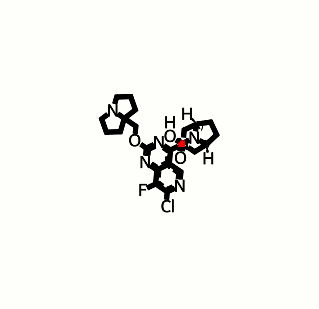 O=C(O)N1[C@@H]2CC[C@H]1CN(c1nc(OCC34CCCN3CCC4)nc3c(F)c(Cl)ncc13)C2